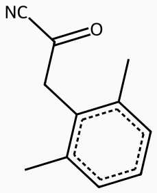 Cc1cccc(C)c1CC(=O)C#N